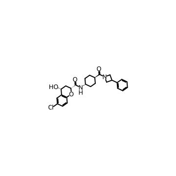 O=C(N[C@H]1CC[C@H](C(=O)N2CC(c3ccccc3)C2)CC1)[C@H]1C[C@@H](O)c2cc(Cl)ccc2O1